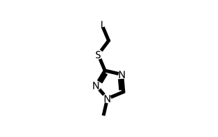 Cn1cnc(SCI)n1